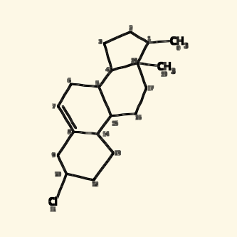 CC1CCC2C3CC=C4CC(Cl)CCC4C3CCC12C